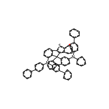 c1ccc(-c2ccc(N(c3ccccc3)c3ccc4c(c3)C3(c5ccccc5-4)c4c(cccc4N(c4ccc(-c5ccccc5)cc4)c4ccc(-c5ccccc5)cc4)-c4sc5ccccc5c43)cc2)cc1